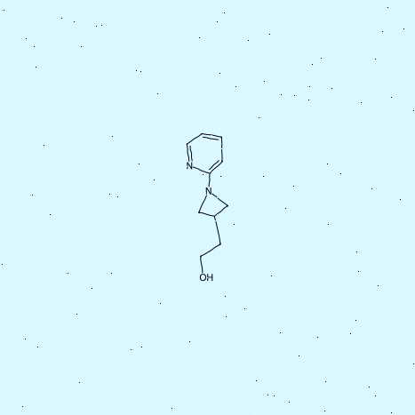 OCCC1CN(c2ccccn2)C1